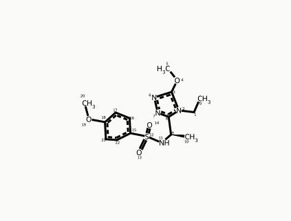 CCn1c(OC)nnc1[C@@H](C)NS(=O)(=O)c1ccc(OC)cc1